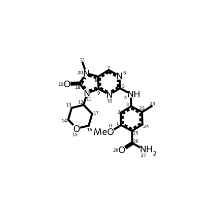 COc1cc(Nc2ncc3c(n2)n(C2CCOCC2)c(=O)n3C)c(C)cc1C(N)=O